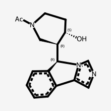 CC(=O)N1CC[C@H](O)[C@@H]([C@@H]2c3ccccc3-c3cncn32)C1